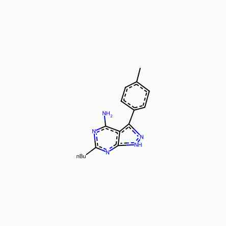 CCCCc1nc(N)c2c(-c3ccc(C)cc3)n[nH]c2n1